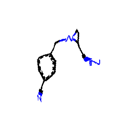 N#Cc1ccc(CN2CC2C#N)cc1